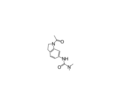 CC(=O)N1CCc2ccc(NC(=O)N(C)C)cc21